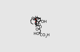 CN1CCC[C@]23c4c5ccc(O)c4O[C@H]2C(OC(=O)C[C@@H](O)C(=O)O)=CC[C@@]3(O)[C@H]1C5